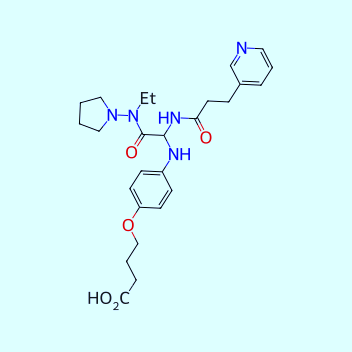 CCN(C(=O)C(NC(=O)CCc1cccnc1)Nc1ccc(OCCCC(=O)O)cc1)N1CCCC1